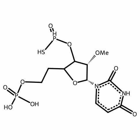 CO[C@H]1C(O[PH](=O)S)C(CCOP(=O)(O)O)O[C@H]1n1ccc(=O)[nH]c1=O